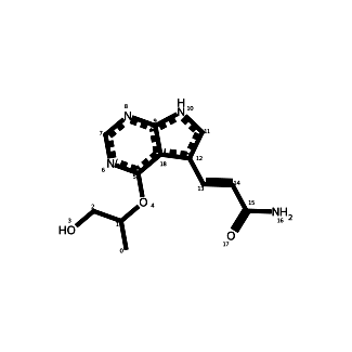 CC(CO)Oc1ncnc2[nH]cc(/C=C/C(N)=O)c12